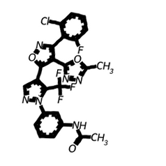 CC(=O)Nc1cccc(-n2ncc(-c3onc(-c4c(F)cccc4Cl)c3-c3nnc(C)o3)c2C(F)(F)F)c1